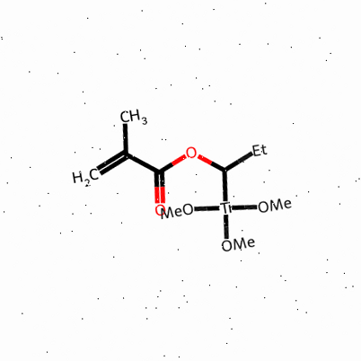 C=C(C)C(=O)O[CH](CC)[Ti]([O]C)([O]C)[O]C